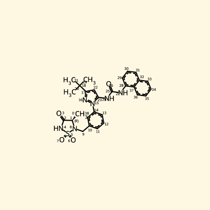 C[C@@H]1C(=O)NS(=O)(=O)N1Cc1cccc(-n2nc(C(C)(C)C)cc2NC(=O)Nc2cccc3ccccc23)c1